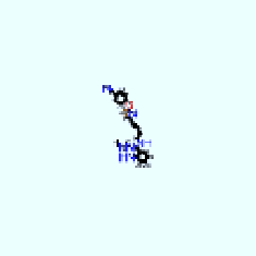 CN/C(NCCC#Cc1csc(Oc2ccc(C#N)cc2)n1)=C1/C=CC=CC1=N